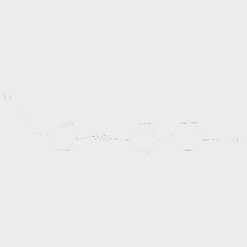 CCC#CCc1ccc(C#Cc2ccc(C3CCC(CCCCC)CC3)cc2)cc1